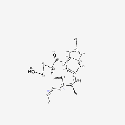 C=N/C(=C\C=C/C)[C@H](C)Nc1nc(C(=O)NCCO)c2sc(C)cc2n1